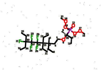 CCC(C)(CCO[C@](C)(CC)P(=O)(OOC)OOC)C(CC)(CC)C(F)(F)C(F)(F)C(F)(CC)CC